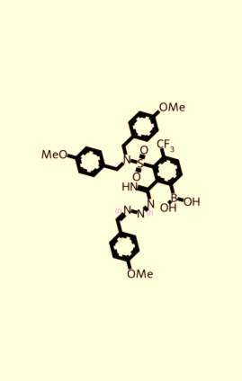 COc1ccc(/C=N\N=N/C(=N)c2c(B(O)O)ccc(C(F)(F)F)c2S(=O)(=O)N(Cc2ccc(OC)cc2)Cc2ccc(OC)cc2)cc1